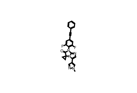 Cn1cc(-c2cnc3n2C2(CC2)C(=O)N3c2c(F)cc(C#Cc3ccccc3)cc2F)cn1